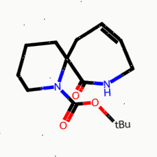 CC(C)(C)OC(=O)N1CCCCC12CC=CCNC2=O